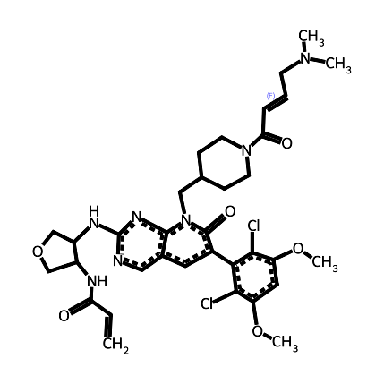 C=CC(=O)NC1COCC1Nc1ncc2cc(-c3c(Cl)c(OC)cc(OC)c3Cl)c(=O)n(CC3CCN(C(=O)/C=C/CN(C)C)CC3)c2n1